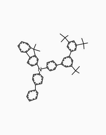 CC(C)(C)c1cc(-c2ccc(N(c3ccc(-c4ccccc4)cc3)c3ccc4c(c3)C(C)(C)c3ccccc3-4)cc2)cc(-c2cc(C(C)(C)C)cc(C(C)(C)C)c2)c1